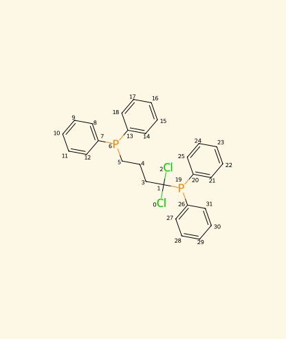 ClC(Cl)(CCCP(c1ccccc1)c1ccccc1)P(c1ccccc1)c1ccccc1